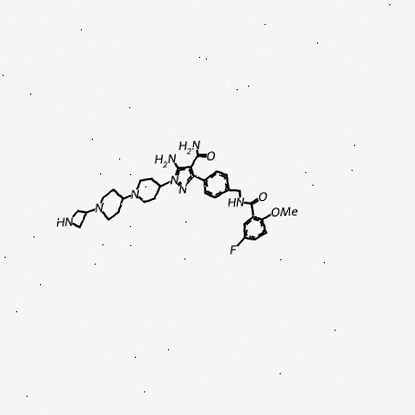 COc1ccc(F)cc1C(=O)NCc1ccc(-c2nn(C3CCN(C4CCN(C5CNC5)CC4)CC3)c(N)c2C(N)=O)cc1